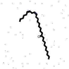 CCCCC/C=C\C/C=C\CCCCCCCCC(=O)CCCCCCCCCC